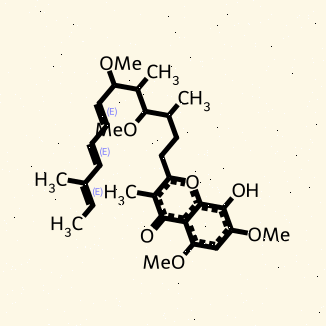 C/C=C(C)/C=C/C=C/C(OC)C(C)C(OC)C(C)CCc1oc2c(O)c(OC)cc(OC)c2c(=O)c1C